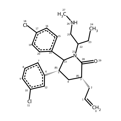 C=CC[C@@H]1C[C@H](c2cccc(Cl)c2)C(c2ccc(Cl)cc2)N(C(CC)CNC)C1=O